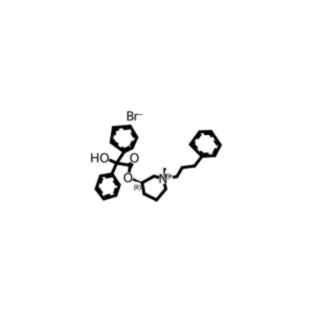 C[N@@+]1(CCCc2ccccc2)CCC[C@@H](OC(=O)C(O)(c2ccccc2)c2ccccc2)C1.[Br-]